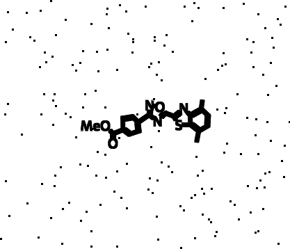 COC(=O)c1ccc(-c2noc(-c3nc4c(C)ccc(C)c4s3)n2)cc1